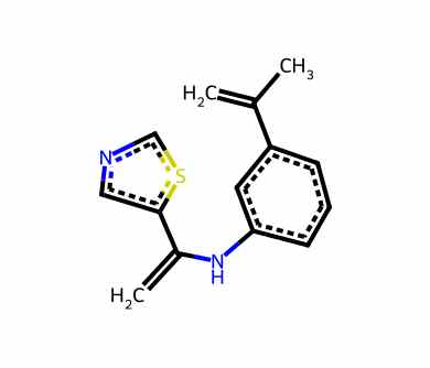 C=C(C)c1cccc(NC(=C)c2cncs2)c1